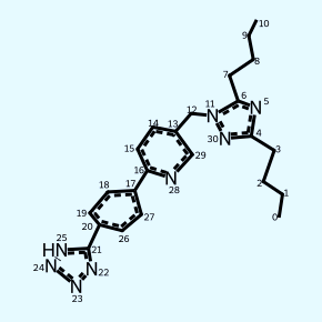 CCCCc1nc(CCCC)n(Cc2ccc(-c3ccc(-c4nnn[nH]4)cc3)nc2)n1